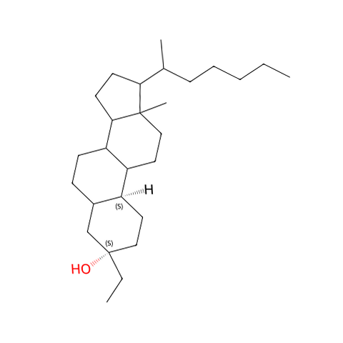 CCCCCC(C)C1CCC2C3CCC4C[C@](O)(CC)CC[C@@H]4C3CCC12C